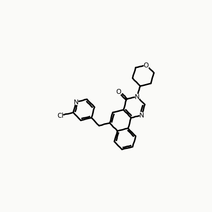 O=c1c2cc(Cc3ccnc(Cl)c3)c3ccccc3c2ncn1C1CCOCC1